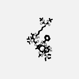 CC[Si](CC)(CC)O[C@H]1C[C@H]2OC[C@@]2(OC(C)=O)[C@H]2[C@H](OC(=O)c3ccccc3)[C@]3(O)C[C@H](OC(=O)[C@H](O[Si](C(C)C)(C(C)C)C(C)C)[C@H](C=C(C)C)NC(=O)/C=C/CCCN(C(=O)OC(C)(C)C)C(=O)OC(C)(C)C)C(C)=C([C@@H](OC(C)=O)C(=O)[C@]12C)C3(C)C